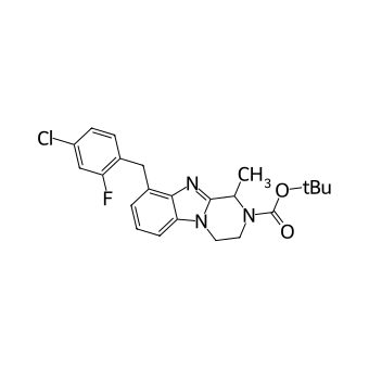 CC1c2nc3c(Cc4ccc(Cl)cc4F)cccc3n2CCN1C(=O)OC(C)(C)C